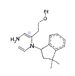 C=CN(/C(=C\N)CCOCC)C1CC(C)(C)c2ccccc21